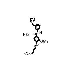 Br.CCCCCCCCCCCCCCOc1ccc(C(=O)Nc2cccc(CN3C=CSC3)c2)cc1OC